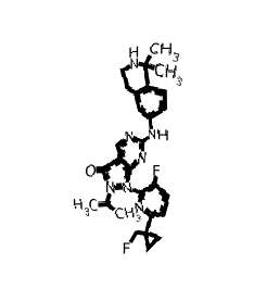 CC(C)n1c(=O)c2cnc(Nc3ccc4c(c3)CCNC4(C)C)nc2n1-c1nc(C2(CF)CC2)ccc1F